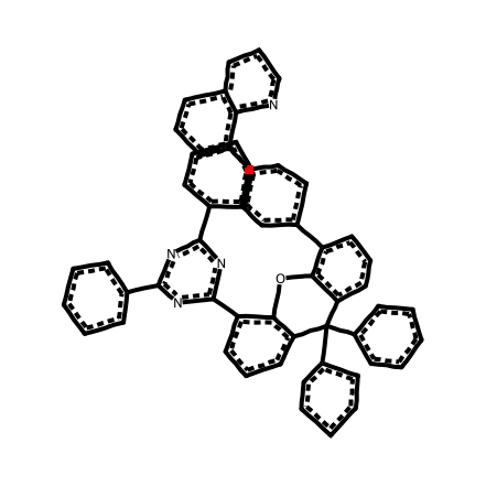 c1ccc(-c2nc(-c3ccccc3)nc(-c3cccc4c3Oc3c(-c5ccc(-c6cccc7cccnc67)cc5)cccc3C4(c3ccccc3)c3ccccc3)n2)cc1